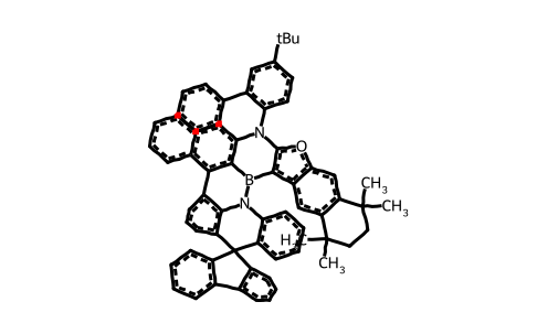 CC(C)(C)c1ccc(N2c3cc4ccccc4c4c3B(c3c2oc2cc5c(cc32)C(C)(C)CCC5(C)C)N2c3ccccc3C3(c5ccccc5-c5ccccc53)c3cccc-4c32)c(-c2ccccc2)c1